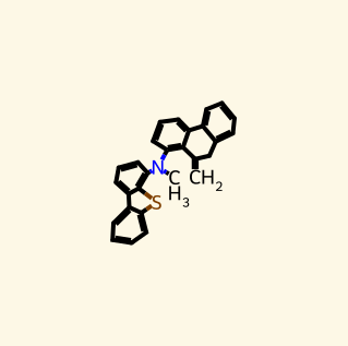 C=C1Cc2ccccc2-c2cccc(N(C)c3cccc4c3sc3ccccc34)c21